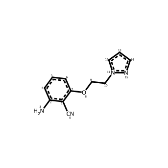 N#Cc1c(N)cccc1OCCn1cccn1